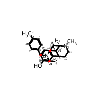 Cc1ccc(CN2CC[C@]34CCN(C)[C@H](Cc5ccc(O)cc53)[C@@H]4C2)cc1